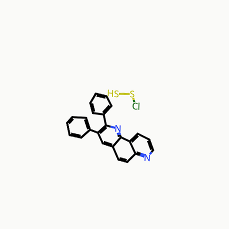 SSCl.c1ccc(-c2cc3ccc4ncccc4c3nc2-c2ccccc2)cc1